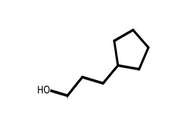 O[CH]CCC1CCCC1